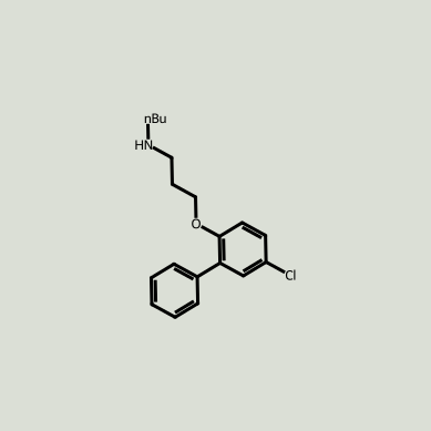 CCCCNCCCOc1ccc(Cl)cc1-c1ccccc1